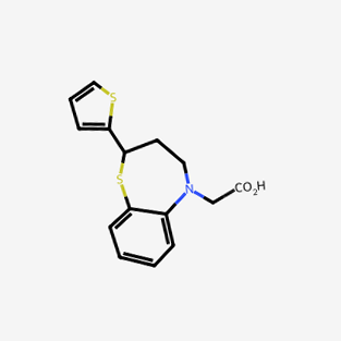 O=C(O)CN1CCC(c2cccs2)Sc2ccccc21